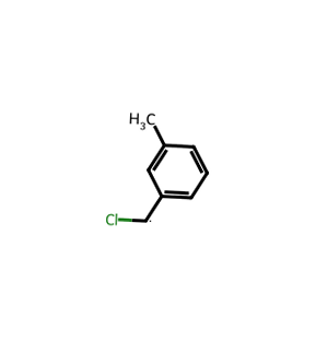 Cc1cccc([CH]Cl)c1